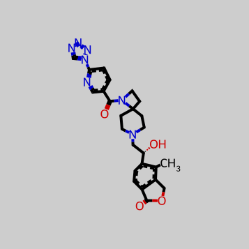 Cc1c([C@@H](O)CN2CCC3(CC2)CCN3C(=O)c2ccc(-n3cnnn3)nc2)ccc2c1COC2=O